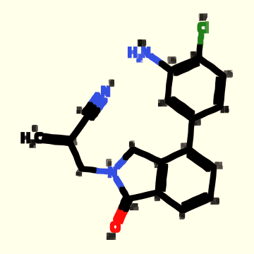 C=C(C#N)CN1Cc2c(cccc2-c2ccc(Cl)c(N)c2)C1=O